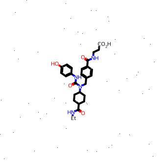 CCNC(=O)C1CCC(N(Cc2ccc(C(=O)NCCC(=O)O)cc2)C(=O)Nc2ccc(O)cc2)CC1